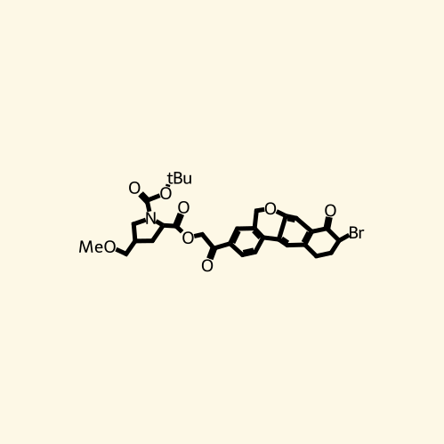 COCC1CC(C(=O)OCC(=O)c2ccc3c(c2)COc2cc4c(cc2-3)CCC(Br)C4=O)N(C(=O)OC(C)(C)C)C1